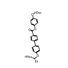 CCCCCCCCCCOc1ccc(OC(=O)c2ccc(-c3ccc(O[C@H](CC)CCCCCC)cc3)cc2)cc1